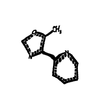 Cc1ocnc1-c1ccccn1